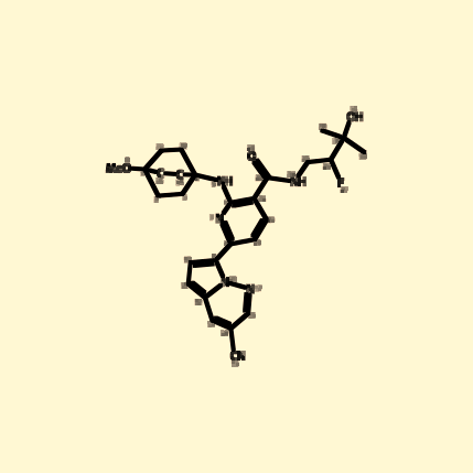 COC12CCC(Nc3nc(-c4ccc5cc(C#N)cnn45)ccc3C(=O)NCC(F)C(C)(C)O)(CC1)CC2